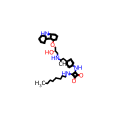 CCCCCCCCNc1c(Nc2ccc(CC(C)NC[C@H](O)COc3cccc4[nH]c5ccccc5c34)cc2)c(=O)c1=O